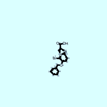 O=C(O)c1cn2c(Br)c(OCc3ccccc3)ccc2n1